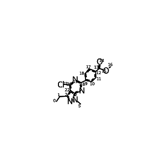 CCc1nn(C)c2nc(-c3ccc(C(=O)OC)cc3)nc(Cl)c12